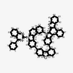 c1ccc(-c2nc(-n3c4ccccc4c4cc(-c5ccc6oc7cccc(-c8ccc9c(c8)c8c%10ccccc%10c%10c%11ccccc%11sc%10c8n9-c8ccccc8)c7c6c5)ccc43)nc3ccccc23)cc1